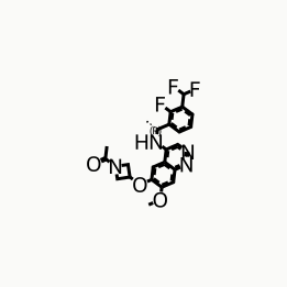 COc1cc2nncc(N[C@H](C)c3cccc(C(F)F)c3F)c2cc1OC1CN(C(C)=O)C1